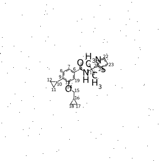 CC(C)(NC(=O)c1ccc(C2CC2)c(OCC2CC2)c1)c1nccs1